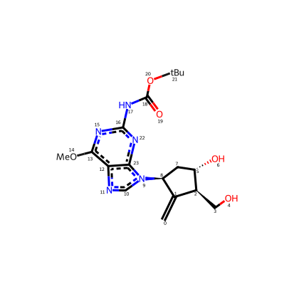 C=C1[C@H](CO)[C@@H](O)C[C@@H]1n1cnc2c(OC)nc(NC(=O)OC(C)(C)C)nc21